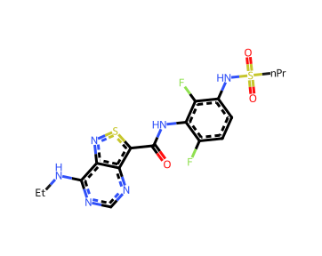 CCCS(=O)(=O)Nc1ccc(F)c(NC(=O)c2snc3c(NCC)ncnc23)c1F